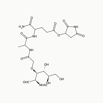 CC(=O)N[C@@H](C=O)[C@@H](OCC(=O)NC(C)C(=O)NC(CCC(=O)OC1CC(=O)NC1=O)C(N)=O)[C@H](O)[C@H](O)CO